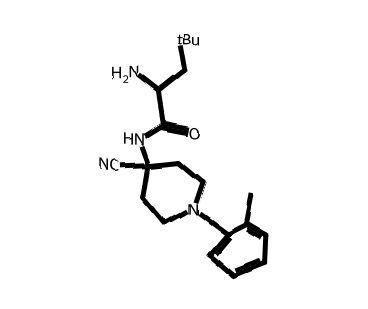 Cc1ccccc1N1CCC(C#N)(NC(=O)C(N)CC(C)(C)C)CC1